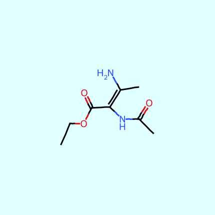 CCOC(=O)C(NC(C)=O)=C(C)N